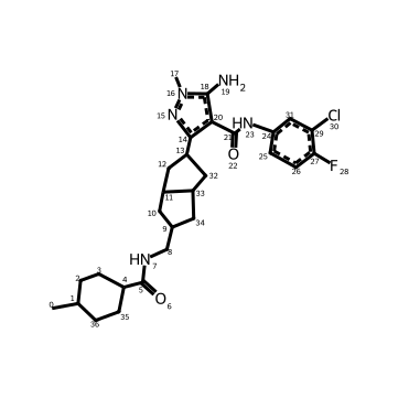 CC1CCC(C(=O)NCC2CC3CC(c4nn(C)c(N)c4C(=O)Nc4ccc(F)c(Cl)c4)CC3C2)CC1